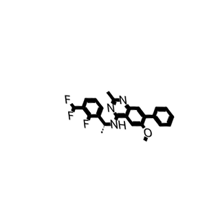 COc1cc2c(N[C@H](C)c3cccc(C(F)F)c3F)nc(C)nc2cc1-c1ccccc1